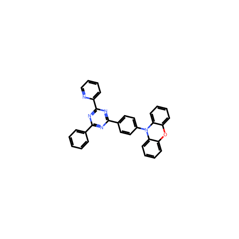 c1ccc(-c2nc(-c3ccc(N4c5ccccc5Oc5ccccc54)cc3)nc(-c3ccccn3)n2)cc1